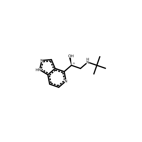 CC(C)(C)NC[C@H](O)c1nccc2[nH]ncc12